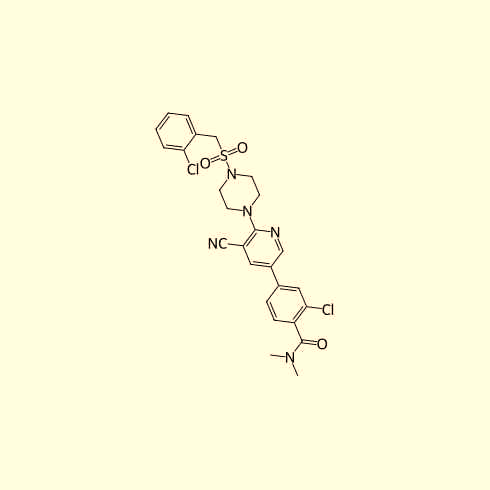 CN(C)C(=O)c1ccc(-c2cnc(N3CCN(S(=O)(=O)Cc4ccccc4Cl)CC3)c(C#N)c2)cc1Cl